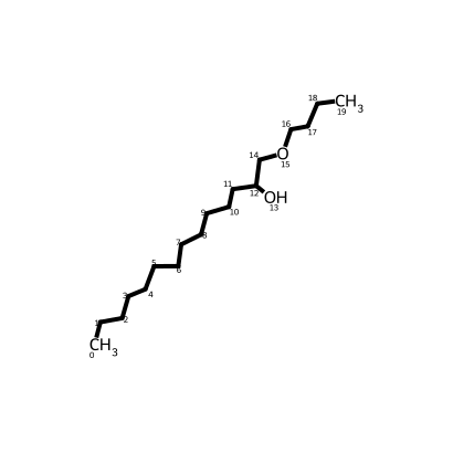 CCCCCCCCCCCCC(O)COCCCC